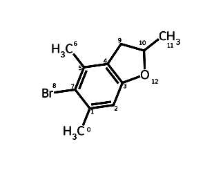 Cc1cc2c(c(C)c1Br)CC(C)O2